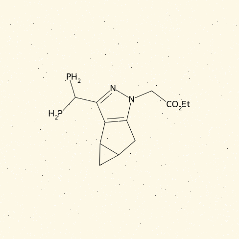 CCOC(=O)Cn1nc(C(P)P)c2c1CC1CC21